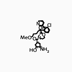 COCCCC[C@](O)(c1cccc(Cl)c1-c1cccnc1)[C@H]1CN(C(=O)[C@H]2C[C@@H](N)[C@@H](O)C2)CCO1